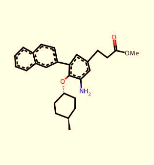 COC(=O)CCc1cc(N)c(O[C@H]2CC[C@H](C)CC2)c(-c2ccc3ccccc3c2)c1